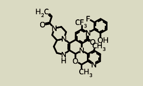 C=CC(=O)N1CCN2C3=C(NCCC2C1)C1OC(C)c2nccc(C)c2N1c1c3cc(C(F)(F)F)n(-c2c(O)cccc2F)c1=O